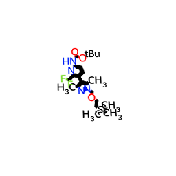 Cc1nn(COCC[Si](C)(C)C)c(C)c1-c1ccc(NC(=O)OC(C)(C)C)nc1C(F)F